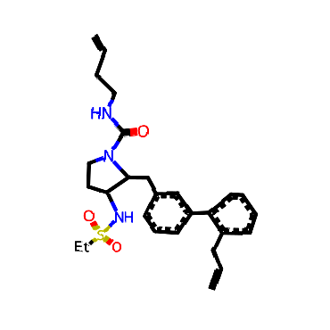 C=CCCNC(=O)N1CCC(NS(=O)(=O)CC)C1Cc1cccc(-c2ccccc2CC=C)c1